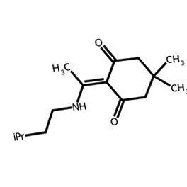 CC(NCCC(C)C)=C1C(=O)CC(C)(C)CC1=O